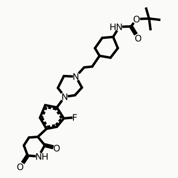 CC(C)(C)OC(=O)NC1CCC(CCN2CCN(c3ccc(C4CCC(=O)NC4=O)cc3F)CC2)CC1